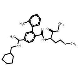 COC(=O)C(CCSC)NC(=O)c1ccc(C(C)NCC2CCCCC2)cc1-c1ccccc1C